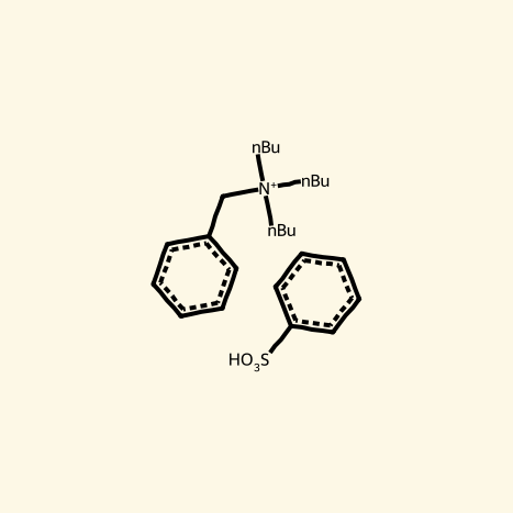 CCCC[N+](CCCC)(CCCC)Cc1ccccc1.O=S(=O)(O)c1ccccc1